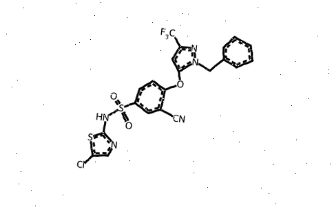 N#Cc1cc(S(=O)(=O)Nc2ncc(Cl)s2)ccc1Oc1cc(C(F)(F)F)nn1Cc1ccccc1